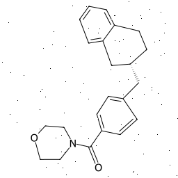 O=C(c1ccc(C[C@H]2CCc3ccccc3C2)cc1)N1CCOCC1